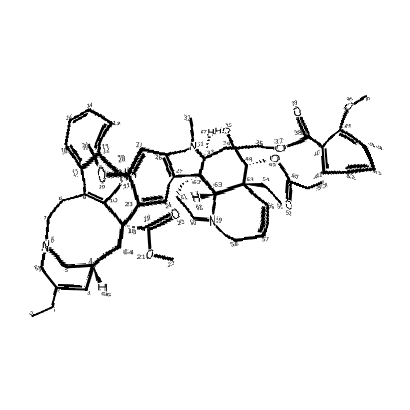 CCC1=C[C@@H]2CN(CCc3c([nH]c4ccccc34)[C@@](C(=O)OC)(c3cc4c(cc3OC)N(C)[C@H]3C(O)(COC(=O)c5ccccc5OC)[C@H](OC(C)=O)[C@]5(CC)C=CCN6CC[C@]43[C@@H]65)C2)C1